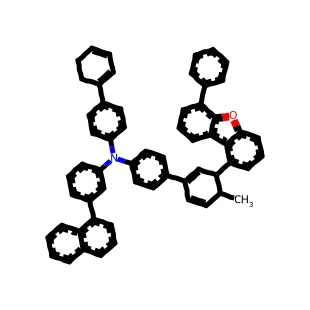 CC1C=CC(c2ccc(N(c3ccc(C4=CC=CCC4)cc3)c3cccc(-c4cccc5ccccc45)c3)cc2)=CC1c1cccc2oc3c(-c4ccccc4)cccc3c12